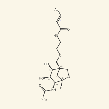 CC(=O)/C=C/C(=O)NCCOC[C@@]12CO[C@@H](O1)[C@@H](NC(=O)C(F)(F)F)[C@@H](O)[C@H]2O